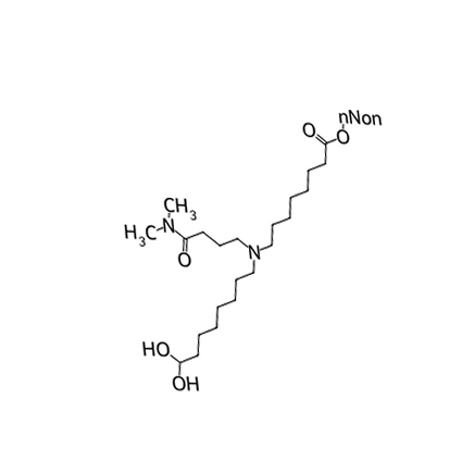 CCCCCCCCCOC(=O)CCCCCCCN(CCCCCCCC(O)O)CCCC(=O)N(C)C